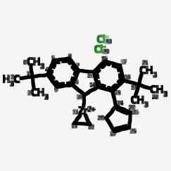 CC(C)(C)c1ccc2c(c1)[CH]([Zr+2]1[CH2][CH2]1)c1c-2ccc(C(C)(C)C)c1C1=CC=CC1.[Cl-].[Cl-]